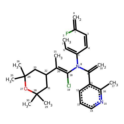 C=C(F)/C=C\C(=C/C)N(C(=C)c1cccnc1C)/C(Cl)=C(\C)C1CC(C)(C)OC(C)(C)C1